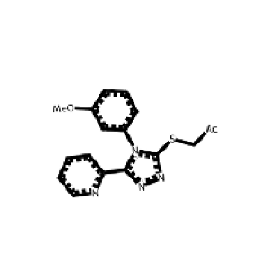 COc1cccc(-n2c(SCC(C)=O)nnc2-c2ccccn2)c1